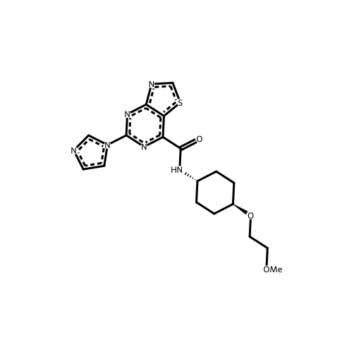 COCCO[C@H]1CC[C@H](NC(=O)c2nc(-n3ccnc3)nc3ncsc23)CC1